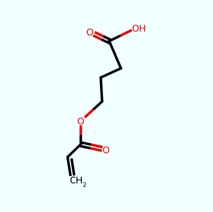 C=CC(=O)OCCCC(=O)O